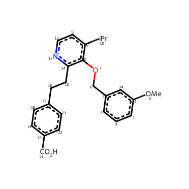 COc1cccc(COc2c(C(C)C)ccnc2CCc2ccc(C(=O)O)cc2)c1